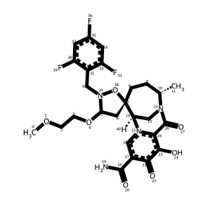 COCCOC1C[C@]2(CC[C@H](C)N3C[C@H]2n2cc(C(N)=O)c(=O)c(O)c2C3=O)ON1Cc1c(F)cc(F)cc1F